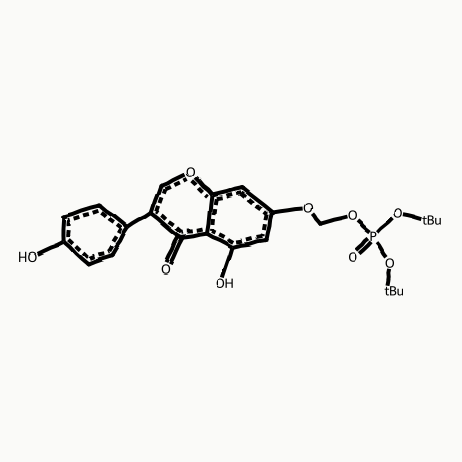 CC(C)(C)OP(=O)(OCOc1cc(O)c2c(=O)c(-c3ccc(O)cc3)coc2c1)OC(C)(C)C